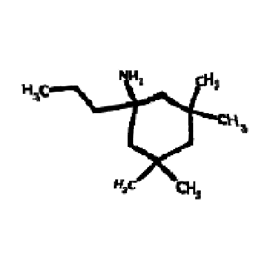 CCCC1(N)CC(C)(C)CC(C)(C)C1